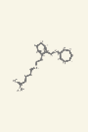 O=C(O)CCCCSCCC1C2CCC(O2)C1CSC1CCCCCC1